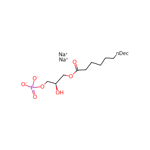 CCCCCCCCCCCCCCCC(=O)OC[C@@H](O)COP(=O)([O-])[O-].[Na+].[Na+]